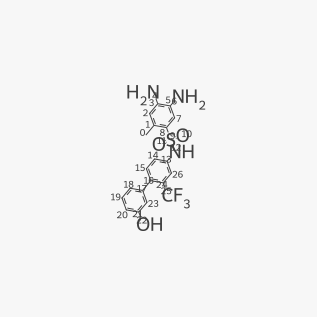 Cc1cc(N)c(N)cc1S(=O)(=O)Nc1ccc(-c2cccc(O)c2)c(C(F)(F)F)c1